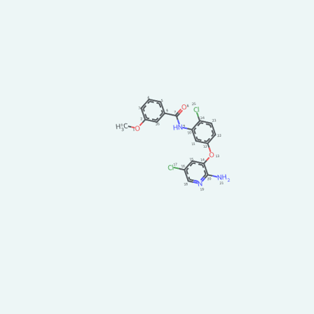 COc1cccc(C(=O)Nc2cc(Oc3cc(Cl)cnc3N)ccc2Cl)c1